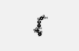 O=C(Nc1ccc(C2CCN(C(=O)C3CCC(C(=O)O)CC3)CC2)cc1)c1cn(-c2ccccc2Cl)nc1C(F)(F)F